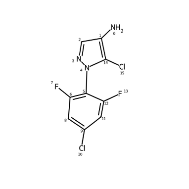 Nc1cnn(-c2c(F)cc(Cl)cc2F)c1Cl